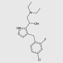 CCN(CC)CC(O)c1[nH]ccc1Cc1ccc(Cl)cc1F